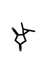 CC1C(C)C12CC(=O)CC2=O